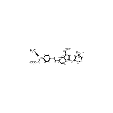 CC#C[C@@H](CC(=O)O)c1ccc(OCc2ccc3c(CN4CCCC(F)(F)C4)cn(CC(C)C)c3n2)cc1